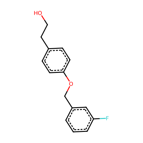 OCCc1ccc(OCc2cccc(F)c2)cc1